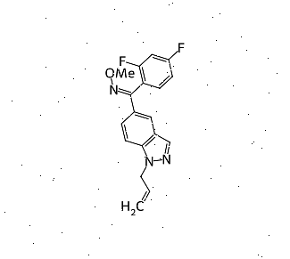 C=CCn1ncc2cc(C(=NOC)c3ccc(F)cc3F)ccc21